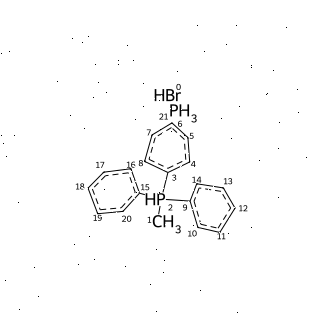 Br.C[PH](c1ccccc1)(c1ccccc1)c1ccccc1.P